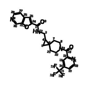 O=C(NCC1CC12CCN(C(=O)c1cc(C(F)(F)F)ccn1)CC2)c1cc2ccncc2o1